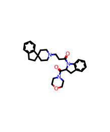 O=C(C1Cc2ccccc2N1C(=O)CCN1CCC2(CCc3ccccc32)CC1)N1CCOCC1